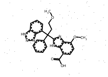 COCCC(c1ccccc1)(c1nc2c(OC)ccc(C(=O)O)c2[nH]1)c1cccc2[nH]nnc12